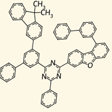 CC1(C)c2ccccc2-c2cc(-c3cc(-c4ccccc4)cc(-c4nc(-c5ccccc5)nc(-c5ccc6c(c5)oc5cccc(-c7cccc(-c8ccccc8)c7)c56)n4)c3)ccc21